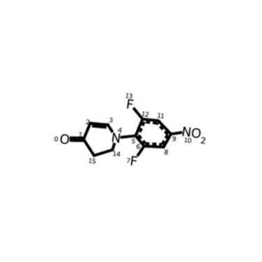 O=C1C=CN(c2c(F)cc([N+](=O)[O-])cc2F)CC1